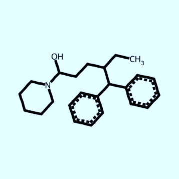 CCC(CCC(O)N1CCCCC1)C(c1ccccc1)c1ccccc1